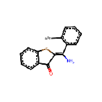 CCCc1ccccc1/C(N)=C1\Sc2ccccc2C1=O